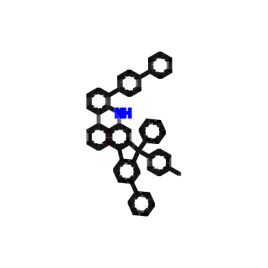 Cc1ccc(C2(c3ccccc3)c3cc(Nc4c(-c5ccccc5)cccc4-c4ccc(-c5ccccc5)cc4)ccc3-c3ccc(-c4ccccc4)cc32)cc1